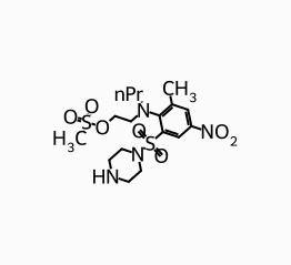 CCCN(CCOS(C)(=O)=O)c1c(C)cc([N+](=O)[O-])cc1S(=O)(=O)N1CCNCC1